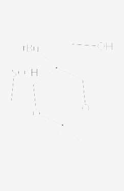 CC1(C)OCC(CO)(C(C)(C)C)CO1.CS(=O)(=O)O